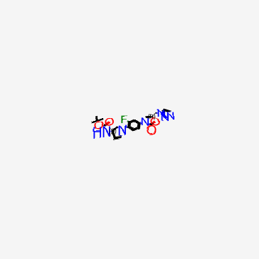 CC(C)(C)OC(=O)N[C@H]1CCN(c2ccc(N3C[C@H](Cn4ccnn4)OC3=O)cc2F)C1